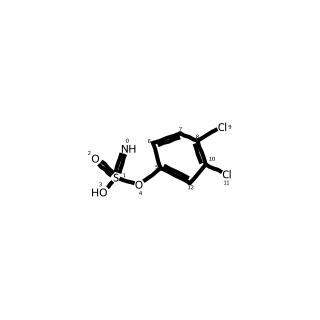 N=S(=O)(O)Oc1ccc(Cl)c(Cl)c1